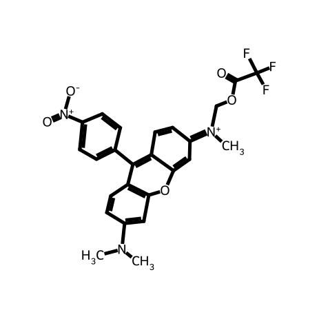 CN(C)c1ccc2c(-c3ccc([N+](=O)[O-])cc3)c3ccc(=[N+](C)COC(=O)C(F)(F)F)cc-3oc2c1